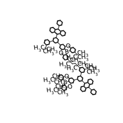 CC(C)(C)c1cccc(-c2cc(-c3cc4c5c(c3)Oc3ccc(C(C)(C)CCC(C)(C)c6cc(-c7cc(-c8cc9c%10c(c8)Oc8ccc(C(C)(C)C)cc8B%10c8cc(C(C)(C)C)ccc8O9)cc(-c8c9ccccc9c(-c9ccccc9)c9ccccc89)c7)cc(C(C)(C)C)c6)cc3B5c3cc(C(C)(C)C)ccc3O4)cc(-c3c4ccccc4c(-c4ccccc4)c4ccccc34)c2)c1